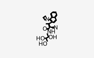 C/C(=C(/C#N)C(=O)NCC(O)C(O)CO)c1ccc2ccccc2c1N1CCC1